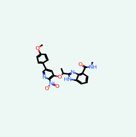 CNC(=O)c1cccc2[nH]c(C(C)Oc3cc(-c4ccc(OC)cc4)cnc3[N+](=O)[O-])nc12